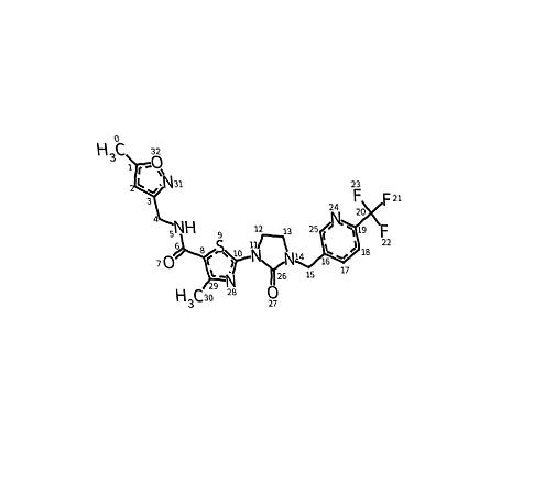 Cc1cc(CNC(=O)c2sc(N3CCN(Cc4ccc(C(F)(F)F)nc4)C3=O)nc2C)no1